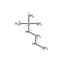 [SiH3]N[SiH2]N[Si]([SiH3])([SiH3])[SiH3]